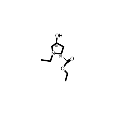 CCOC(=O)[C@H]1C[C@H](O)CN1CC